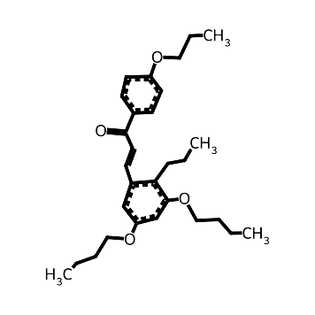 CCCCOc1cc(C=CC(=O)c2ccc(OCCC)cc2)c(CCC)c(OCCCC)c1